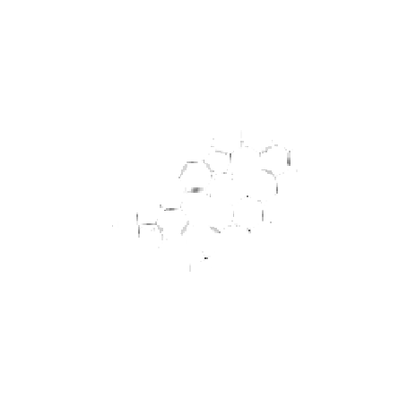 O=C(CC(F)(F)F)N1CCN(Cc2ccnc(Nc3nc4ccc(-c5ccnc(C(F)(F)F)n5)cc4[nH]3)c2)CC1